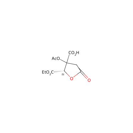 CCOC(=O)[C@H]1OC(=O)CC1(OC(C)=O)C(=O)O